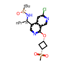 CCC[C@@H](N[S+]([O-])C(C)(C)C)c1cnc(O[C@H]2C[C@@H](S(C)(=O)=O)C2)c2cnc(Cl)cc12